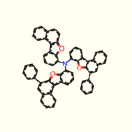 c1ccc(-c2cc3ccccc3c3c2oc2c(N(c4cccc5c4oc4ccc6ccccc6c45)c4cccc5c4oc4c(-c6ccccc6)cc6ccccc6c45)cccc23)cc1